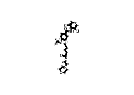 O=C(CCCCOc1cc(C(=O)Nc2c(Cl)cncc2Cl)ccc1OC(F)F)OCCN1CCOCC1